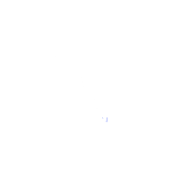 NC#CC#CC1CCCCC1